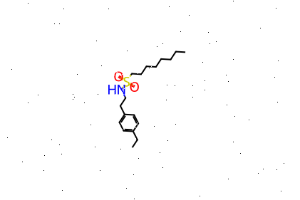 CCCCCCCCS(=O)(=O)NCCc1ccc(CC)cc1